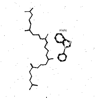 CC(C)CCCC(C)CCCC(C)CCCCC(C)CCCC(C)CCCC(C)C.[NaH].c1ccc(-n2cnc3ccccc32)cc1